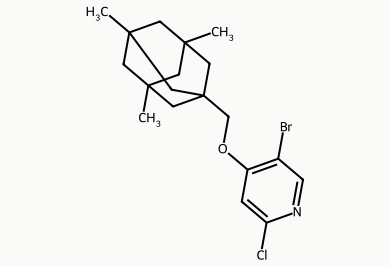 CC12CC3(C)CC(C)(C1)CC(COc1cc(Cl)ncc1Br)(C2)C3